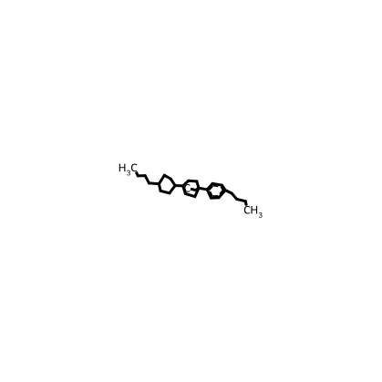 CCCCc1ccc(C23CCC(C4CCC(CCCC)CC4)(CC2)CC3)cc1